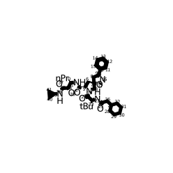 CCC[C@H](NC(=O)[C@@H]1C[C@]2(CC(c3ccccc3)=NO2)CN1C(=O)[C@@H](NC(=O)CC1CCCCC1)C(C)(C)C)C(=O)C(=O)NC1CC1